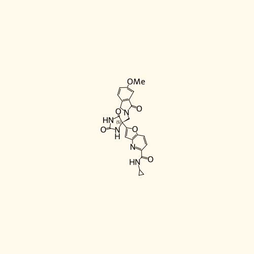 COc1ccc2c(c1)C(=O)N(C[C@@]1(c3cc4nc(C(=O)NC5CC5)ccc4o3)NC(=O)NC1=O)C2